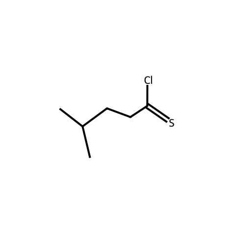 CC(C)CCC(=S)Cl